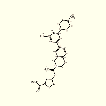 C=C(CC1CCN(C(=O)OC)C1)N1CCc2ccc(-c3cc(N4CCN(C)CC4)nc(N)n3)cc2C1